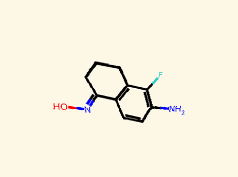 Nc1ccc2c(c1F)CCCC2=NO